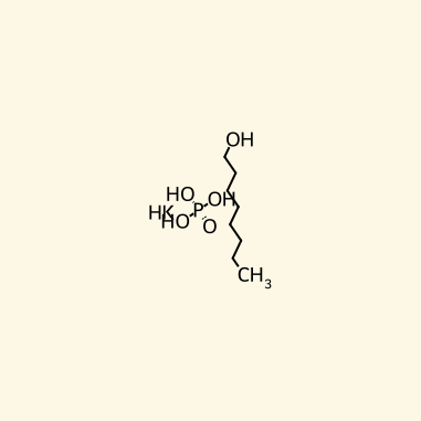 CCCCCCCCO.O=P(O)(O)O.[KH]